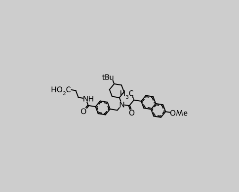 COc1ccc2cc([C@H](C)C(=O)N(Cc3ccc(C(=O)NCCC(=O)O)cc3)C3CCC(C(C)(C)C)CC3)ccc2c1